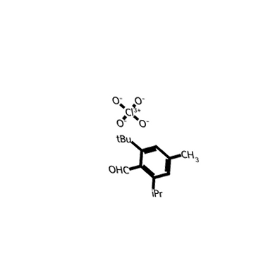 Cc1cc(C(C)C)c([C+]=O)c(C(C)(C)C)c1.[O-][Cl+3]([O-])([O-])[O-]